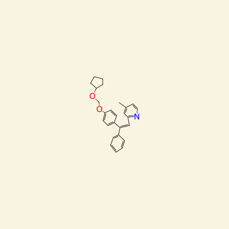 Cc1ccnc(C=C(c2ccccc2)c2ccc(OCOC3CCCC3)cc2)c1